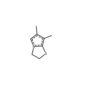 Cc1cn2c(c1C)SCC2